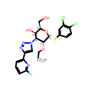 O=C(O)CO[C@@H]1[C@@H](n2cc(-c3cccc(F)n3)nn2)[C@@H](O)[C@@H](CO)O[C@@H]1Sc1ccc(Cl)c(Cl)c1